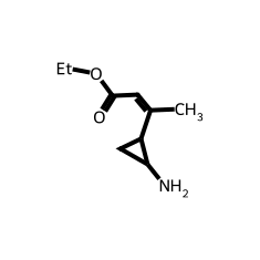 CCOC(=O)/C=C(/C)C1CC1N